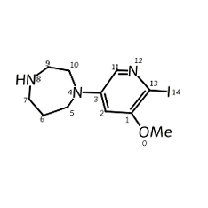 COc1cc(N2CCCNCC2)cnc1I